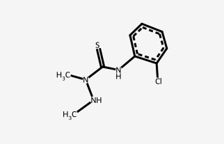 CNN(C)C(=S)Nc1ccccc1Cl